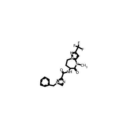 CN1C(=O)C(NC(=O)c2ncn(Cc3ccccc3)n2)CCn2nc(C(F)(F)F)cc21